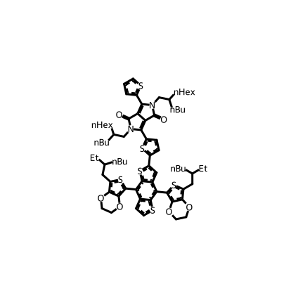 CCCCCCC(CCCC)CN1C(=O)C2=C(c3ccc(-c4cc5c(-c6sc(CC(CC)CCCC)c7c6OCCO7)c6sccc6c(-c6sc(CC(CC)CCCC)c7c6OCCO7)c5s4)s3)N(CC(CCCC)CCCCCC)C(=O)C2=C1c1cccs1